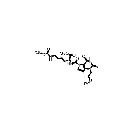 COC(=O)[C@H](CCCCNC(=O)OC(C)(C)C)NC(=O)n1ccc2c1c(=O)[nH]c(=S)n2CCOC(C)C